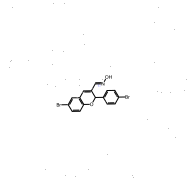 O/N=C/C1=Cc2cc(Br)ccc2OC1c1ccc(Br)cc1